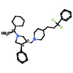 O=C(O)[C@@H](C1CCCCC1)N1C[C@H](CN2CCC(CCC(F)(F)c3ccccc3)CC2)[C@@H](c2ccccc2)C1